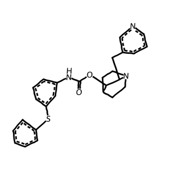 O=C(Nc1cccc(Sc2ccccc2)c1)OC1C2CCN(CC2)C1Cc1cccnc1